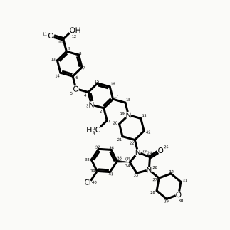 CCc1nc(Oc2ccc(C(=O)O)cc2)ccc1CN1CCC(N2C(=O)N(C3CCOCC3)C[C@H]2c2cccc(Cl)c2)CC1